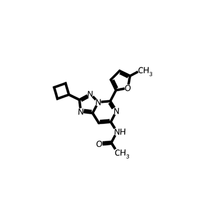 CC(=O)Nc1cc2nc(C3CCC3)nn2c(-c2ccc(C)o2)n1